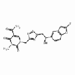 Cn1c(=O)c(C(N)=O)cn(Cc2nnn(C[C@H](O)c3ccc4oc(F)cc4c3)n2)c1=O